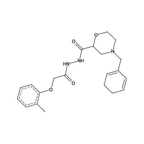 Cc1ccccc1OCC(=O)NNC(=O)C1CN(CC2=CCCC=C2)CCO1